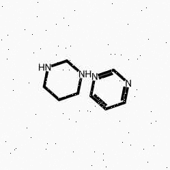 C1CNCNC1.c1cncnc1